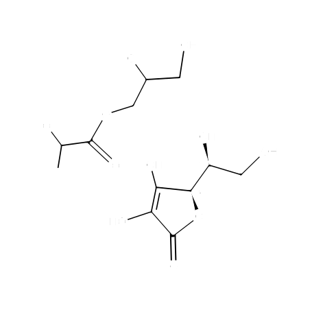 CC(O)C(=O)OCC(O)CO.O=C1O[C@H]([C@@H](O)CO)C(O)=C1O